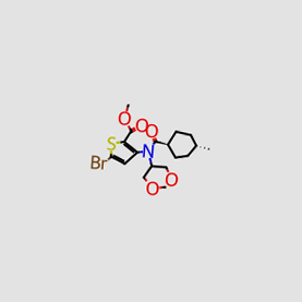 COC(=O)c1sc(Br)cc1N(C(=O)[C@H]1CC[C@H](C)CC1)C1COCOC1